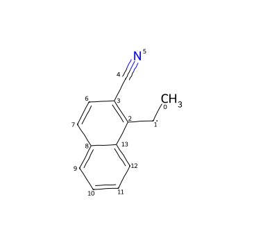 C[CH]c1c(C#N)ccc2ccccc12